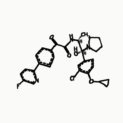 C[C@@H](NC(=O)C(=O)c1ccc(-c2ccc(F)cn2)cc1)[C@](O)(c1ccc(OC2CC2)c(Cl)c1)N1CCCC1